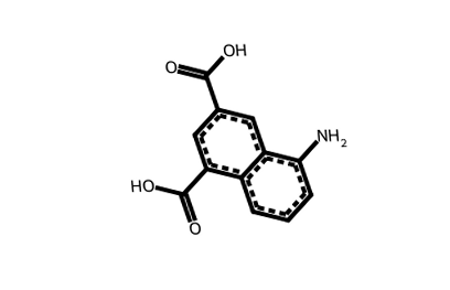 Nc1cccc2c(C(=O)O)cc(C(=O)O)cc12